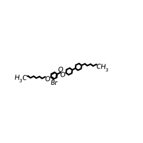 CCCCCCCCOc1ccc(C(=O)OC2CCC(C3CCC(CCCCCC)CC3)CC2)cc1Br